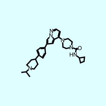 CC(C)N1CCC(c2ccc(-c3cc4c(N5CCN(C(=O)NC6CCC6)CC5)ccnn4c3)cc2)CC1